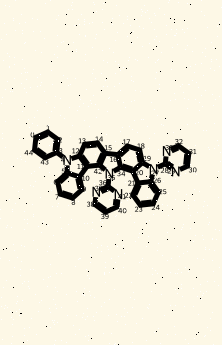 c1ccc(-n2c3ccccc3c3c2ccc2c4ccc5c(c6ccccc6n5-c5ncccn5)c4n(-c4ncccn4)c23)cc1